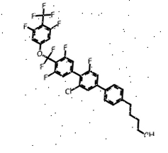 CCCCCc1ccc(-c2cc(F)c(-c3cc(F)c(C(F)(F)Oc4cc(F)c(C(F)(F)F)c(F)c4)c(F)c3)c(Cl)c2)cc1